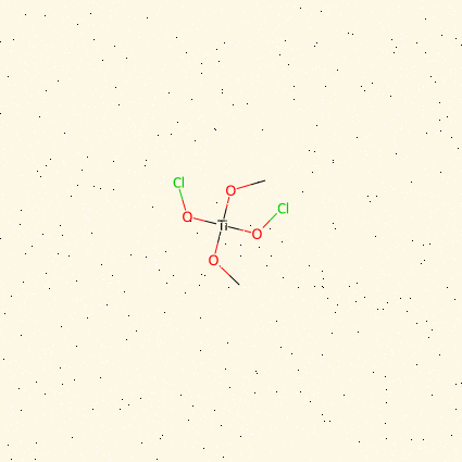 C[O][Ti]([O]C)([O]Cl)[O]Cl